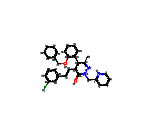 Cc1nn(Cc2ccccn2)c(=O)c(/C=C/c2cccc(F)c2)c1-c1ccccc1OCc1ccccc1